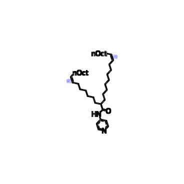 CCCCCCCC/C=C\CCCCCCCCC(CCCCCC/C=C\CCCCCCCC)C(=O)Nc1ccncc1